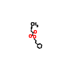 CC#CCC(=O)C(=O)OCC=Cc1ccccc1